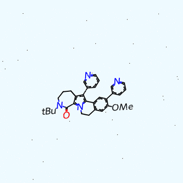 COc1cc2c(cc1-c1cccnc1)-c1c(-c3cccnc3)c3c(n1CC2)C(=O)N(C(C)(C)C)CCC3